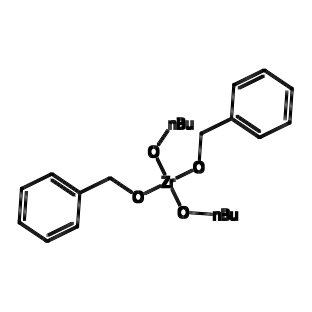 CCCC[O][Zr]([O]CCCC)([O]Cc1ccccc1)[O]Cc1ccccc1